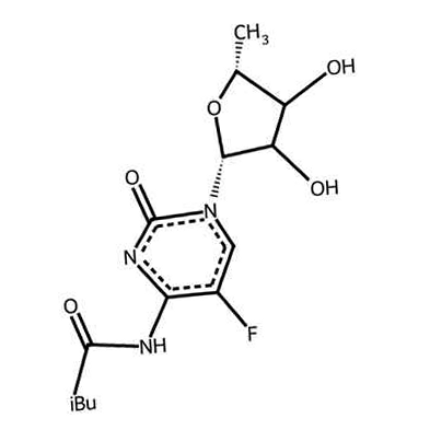 CCC(C)C(=O)Nc1nc(=O)n([C@@H]2O[C@H](C)C(O)C2O)cc1F